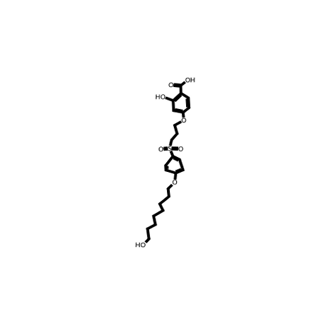 O=C(O)c1ccc(OCCCS(=O)(=O)c2ccc(OCCCCCCCCO)cc2)cc1O